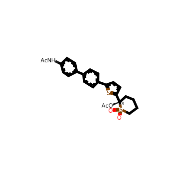 CC(=O)Nc1ccc(-c2ccc(-c3ccc([C@]4(OC(C)=O)CCCCS4(=O)=O)s3)cc2)cc1